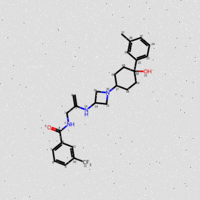 C=C(CNC(=O)c1cccc(C(F)(F)F)c1)NC1CN(C2CCC(O)(c3cccc(C)c3)CC2)C1